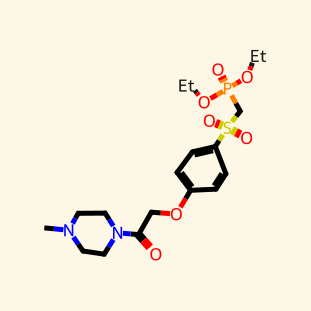 CCOP(=O)(CS(=O)(=O)c1ccc(OCC(=O)N2CCN(C)CC2)cc1)OCC